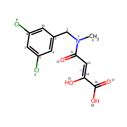 CN(Cc1cc(Cl)cc(Cl)c1)C(=O)/C=C(\O)C(=O)O